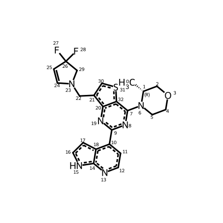 C[C@@H]1COCCN1c1nc(-c2ccnc3[nH]ccc23)nc2c(CN3C=CC(F)(F)C3)csc12